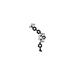 O=C(O)c1ccc(-c2ccc(NC(=O)[C@H]3CCCN3C(=O)NCc3ccc(C4CC4)cc3)cc2)cc1